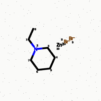 CCN1CCCCC1.[Br-].[Br-].[Zn+2]